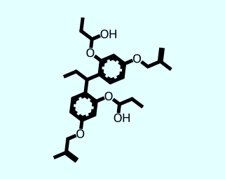 C=C(C)COc1ccc(C(CC)c2ccc(OCC(=C)C)cc2OC(O)CC)c(OC(O)CC)c1